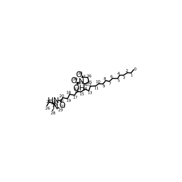 CCCCCCCCCCCCCCCCCCCCCC(=O)NC(CC)N(C)C.O=C(O)N1CCCC1=O